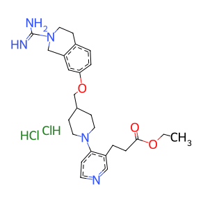 CCOC(=O)CCc1cnccc1N1CCC(COc2ccc3c(c2)CN(C(=N)N)CC3)CC1.Cl.Cl